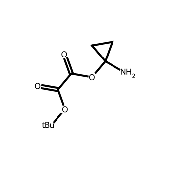 CC(C)(C)OC(=O)C(=O)OC1(N)CC1